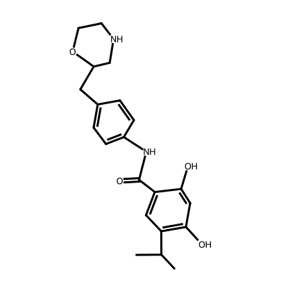 CC(C)c1cc(C(=O)Nc2ccc(CC3CNCCO3)cc2)c(O)cc1O